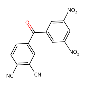 N#Cc1ccc(C(=O)c2cc([N+](=O)[O-])cc([N+](=O)[O-])c2)cc1C#N